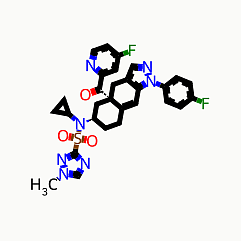 Cn1cnc(S(=O)(=O)N(C2CC2)[C@H]2CCC3=Cc4c(cnn4-c4ccc(F)cc4)C[C@]3(C(=O)c3cc(F)ccn3)C2)n1